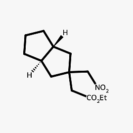 CCOC(=O)CC1(C[N+](=O)[O-])C[C@H]2CCC[C@@H]2C1